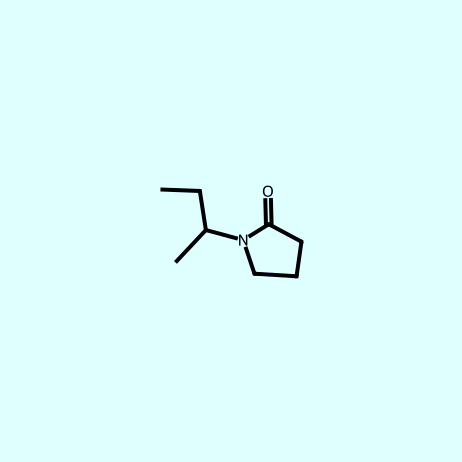 CCC(C)N1CCCC1=O